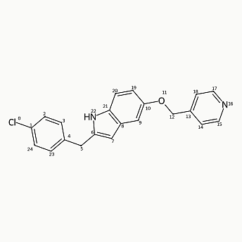 Clc1ccc(Cc2cc3cc(OCc4ccncc4)ccc3[nH]2)cc1